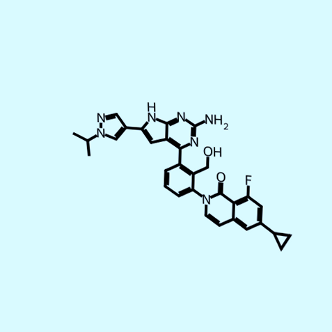 CC(C)n1cc(-c2cc3c(-c4cccc(-n5ccc6cc(C7CC7)cc(F)c6c5=O)c4CO)nc(N)nc3[nH]2)cn1